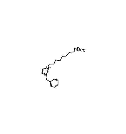 CCCCCCCCCCCCCCCCCC[n+]1ccn(Cc2ccccc2)c1